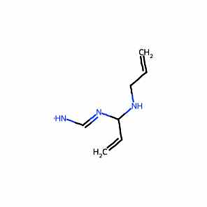 C=CCNC(C=C)N=C[NH]